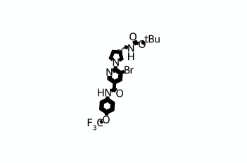 CC(C)(C)OC(=O)NC[C@H]1CCN(c2ncc(C(=O)Nc3ccc(OC(F)(F)F)cc3)cc2Br)C1